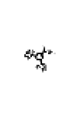 NC(=O)c1cc(-c2nnn[nH]2)cc(-c2nnn[nH]2)c1